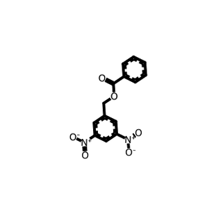 O=C(OCc1cc([N+](=O)[O-])cc([N+](=O)[O-])c1)c1ccccc1